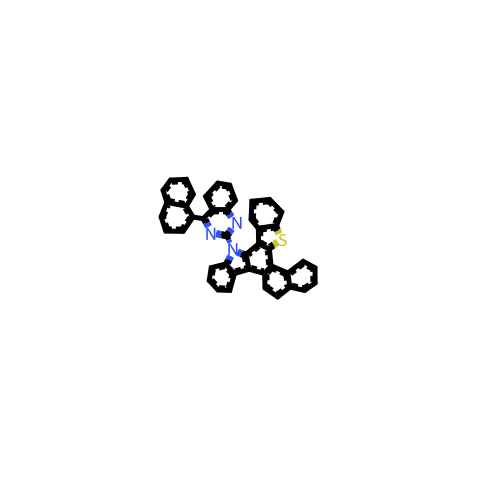 c1ccc2c(-c3nc(-n4c5ccccc5c5c6ccc7ccccc7c6c6sc7ccccc7c6c54)nc4ccccc34)cccc2c1